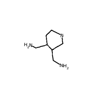 NC[C]1CC[N]CC1CN